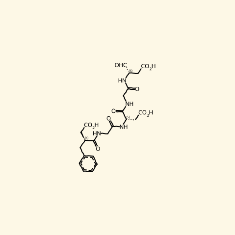 O=C[C@H](CC(=O)O)NC(=O)CNC(=O)[C@H](CC(=O)O)NC(=O)CNC(=O)[C@H](CC(=O)O)Cc1ccccc1